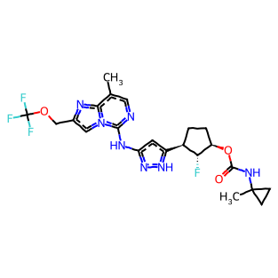 Cc1cnc(Nc2cc([C@H]3CC[C@@H](OC(=O)NC4(C)CC4)[C@@H]3F)[nH]n2)n2cc(COC(F)(F)F)nc12